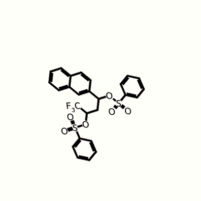 O=S(=O)(OC(CC(OS(=O)(=O)c1ccccc1)C(F)(F)F)c1ccc2ccccc2c1)c1ccccc1